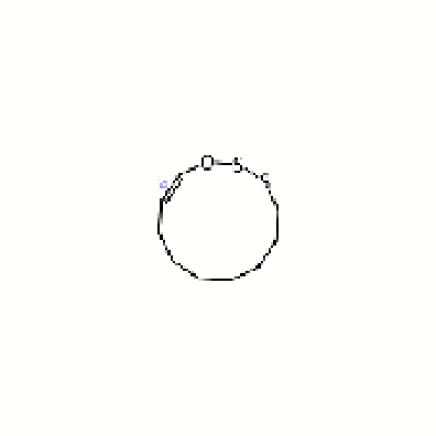 C1=C\OSSCCCCCCC/1